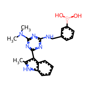 Cc1[nH]c2ccccc2c1-c1nc(NCc2cccc(B(O)O)c2)nc(N(C)C)n1